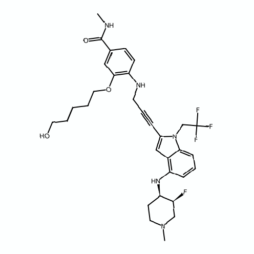 CNC(=O)c1ccc(NCC#Cc2cc3c(N[C@@H]4CCN(C)C[C@@H]4F)cccc3n2CC(F)(F)F)c(OCCCCCO)c1